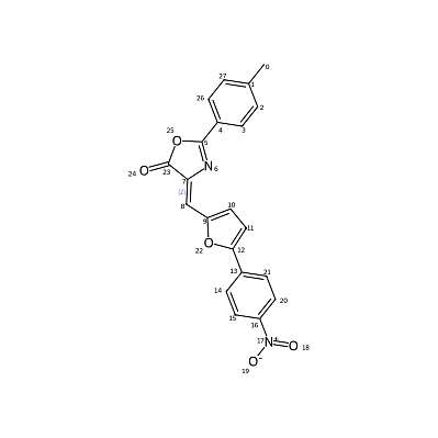 Cc1ccc(C2=N/C(=C\c3ccc(-c4ccc([N+](=O)[O-])cc4)o3)C(=O)O2)cc1